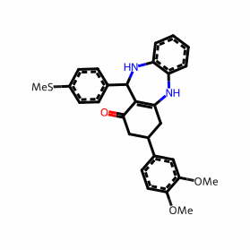 COc1ccc(C2CC(=O)C3=C(C2)Nc2ccccc2NC3c2ccc(SC)cc2)cc1OC